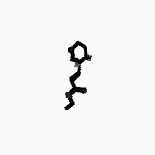 CCOC(=O)C=C[C@@H]1COCCN1